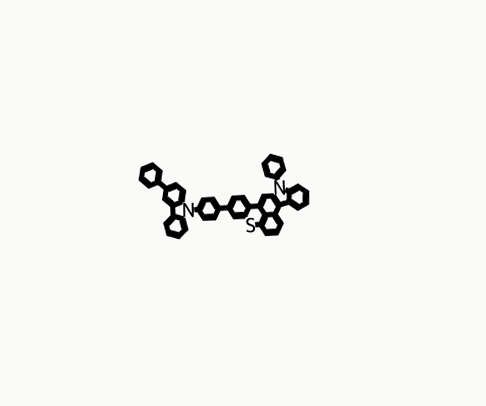 c1ccc(-c2ccc3c(c2)c2ccccc2n3-c2ccc(-c3ccc4c(c3)Sc3cccc5c3c-4cc3c5c4ccccc4n3-c3ccccc3)cc2)cc1